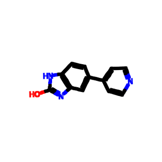 Oc1nc2cc(-c3ccncc3)ccc2[nH]1